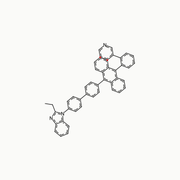 CCc1nc2ccccc2n1-c1ccc(-c2ccc(-c3c4ccccc4c(-c4ccccc4-c4cccnc4)c4ccccc34)cc2)cc1